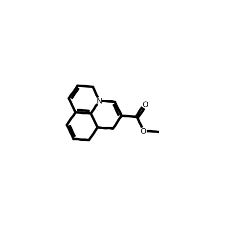 COC(=O)C1=CN2CC=CC3=C2C(CC=C3)C1